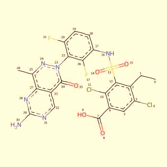 CCc1c(Cl)cc(C(=O)O)c(Cl)c1S(=O)(=O)Nc1ccc(F)c(-n2nc(C)c3nc(N)ncc3c2=O)c1F